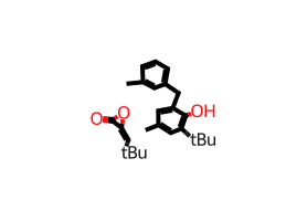 CC(C)(C)C=C1OC1=O.Cc1cccc(Cc2cc(C)cc(C(C)(C)C)c2O)c1